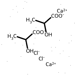 CC(O)C(=O)[O-].CC(O)C(=O)[O-].[Ca+2].[Ca+2].[Cl-].[Cl-]